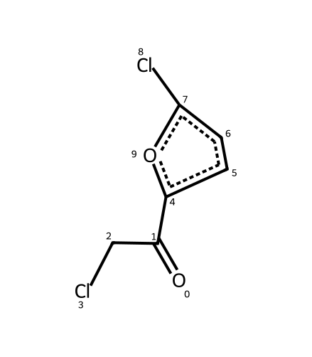 O=C(CCl)c1ccc(Cl)o1